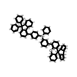 c1ccc(N(c2ccc(-c3cccc4c3-c3ccccc3C4(c3ccccc3)c3ccccc3)cc2)c2cccc(-c3cccc4c3Oc3ccccc3C43c4ccccc4-c4ccccc43)c2)cc1